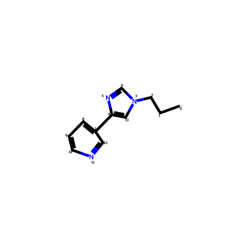 [CH2]CCn1cnc(-c2cccnc2)c1